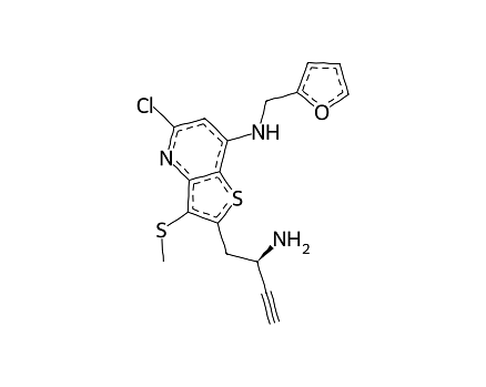 C#C[C@H](N)Cc1sc2c(NCc3ccco3)cc(Cl)nc2c1SC